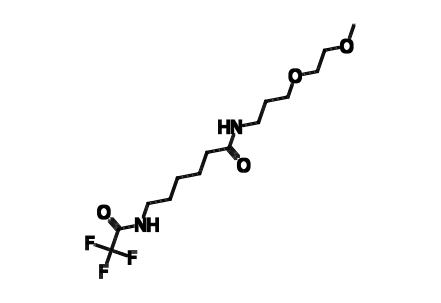 COCCOCCCNC(=O)CCCCCNC(=O)C(F)(F)F